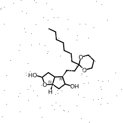 CCCCCCCC1(CC[C@H]2C(O)C[C@@H]3OC(O)CC23)OCCCO1